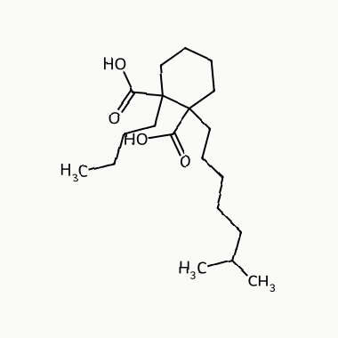 CCCCC1(C(=O)O)CCCCC1(CCCCCC(C)C)C(=O)O